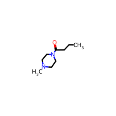 CCCC(=O)N1CCN(C)CC1